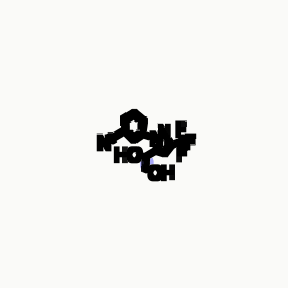 N#Cc1cccc(-n2nc(C(F)(F)F)cc2/C(O)=C\O)c1